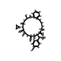 C[C@@H]1CN[C@@H](C2CC2)C(=O)N(C)CC(=O)N[C@H]([C@@H](O)c2ccc(F)cc2)C(=O)NCCCc2ccccc2O1